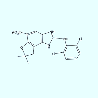 CC1(C)Cc2c3c(cc(C(=O)O)c2O1)NC(Nc1c(Cl)cccc1Cl)N3